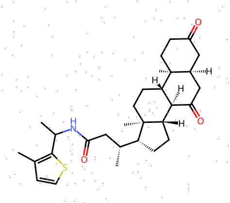 Cc1ccsc1C(C)NC(=O)C[C@@H](C)[C@H]1CC[C@H]2[C@@H]3C(=O)C[C@@H]4CC(=O)CC[C@]4(C)[C@H]3CC[C@]12C